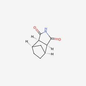 O=C1NC(=O)[C@H]2[C@H]3CC[C@H](C3)[C@@H]12